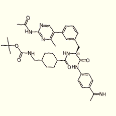 CC(=N)c1ccc(NC(=O)[C@H](Cc2cccc(-c3cnc(NC(C)=O)nc3C)c2)NC(=O)C2CCC(CNC(=O)OC(C)(C)C)CC2)cc1